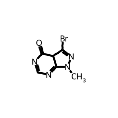 CN1N=C(Br)C2C(=O)N=CN=C21